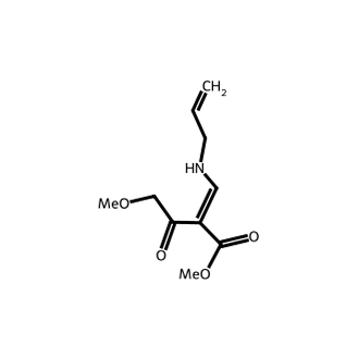 C=CCN/C=C(\C(=O)COC)C(=O)OC